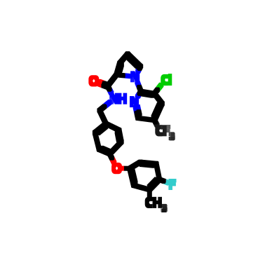 Cc1cc(Oc2ccc(CNC(=O)c3cccn3-c3ncc(C(F)(F)F)cc3Cl)cc2)ccc1F